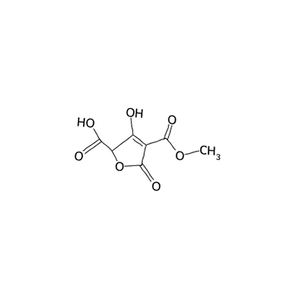 COC(=O)C1=C(O)C(C(=O)O)OC1=O